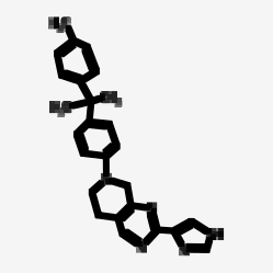 Cc1ccc(C(C)(C)c2ccc(N3CCc4cnc(-c5c[nH]cn5)nc4C3)cc2)cc1